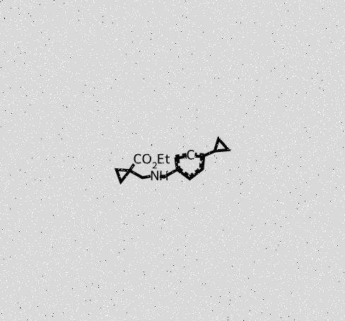 CCOC(=O)C1(CNCc2ccc(C3CC3)cc2)CC1